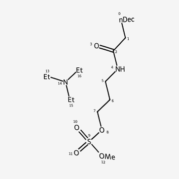 CCCCCCCCCCCC(=O)NCCCOS(=O)(=O)OC.CCN(CC)CC